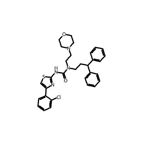 O=C(Nc1nc(-c2ccccc2Cl)cs1)N(CCC(c1ccccc1)c1ccccc1)CCN1CCOCC1